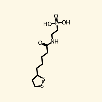 O=C(CCCCC1CCSS1)NCCP(=O)(O)O